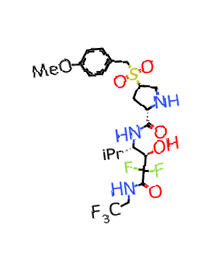 COc1ccc(CS(=O)(=O)[C@H]2CN[C@H](C(=O)N[C@@H](C(C)C)[C@@H](O)C(F)(F)C(=O)NCC(F)(F)F)C2)cc1